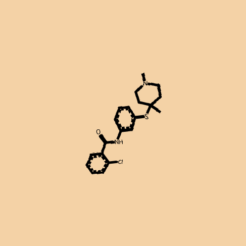 CN1CCC(C)(Sc2cccc(NC(=O)c3ccccc3Cl)c2)CC1